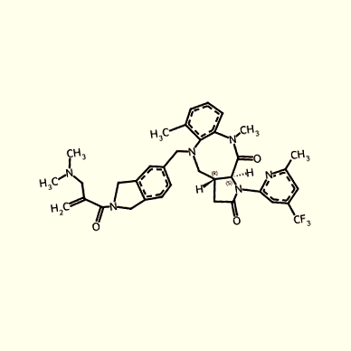 C=C(CN(C)C)C(=O)N1Cc2ccc(CN3C[C@H]4CC(=O)N(c5cc(C(F)(F)F)cc(C)n5)[C@@H]4C(=O)N(C)c4cccc(C)c43)cc2C1